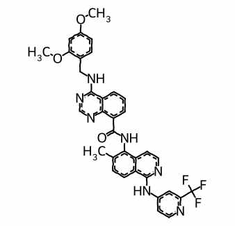 COc1ccc(CNc2ncnc3c(C(=O)Nc4c(C)ccc5c(Nc6ccnc(C(F)(F)F)c6)nccc45)cccc23)c(OC)c1